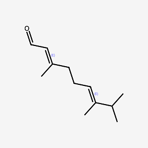 C/C(=C\C=O)CC/C=C(\C)C(C)C